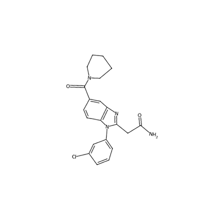 NC(=O)Cc1nc2cc(C(=O)N3CCCCC3)ccc2n1-c1cccc(Cl)c1